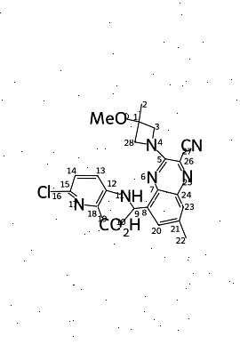 COC1(C)CN(c2nc3c(C(C)Nc4ccc(Cl)nc4C(=O)O)cc(C)cc3nc2C#N)C1